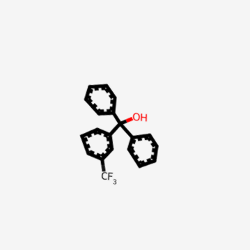 OC(c1ccccc1)(c1ccccc1)c1cccc(C(F)(F)F)c1